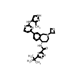 Cc1n[nH]cc1Nc1nccc(-c2ccc3c(c2)CN(C2COC2)CC[C@@H]3NC(=O)c2nnc(C(C)(C)C)s2)n1